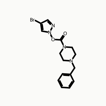 O=C(On1cc(Br)cn1)N1CCN(Cc2ccccc2)CC1